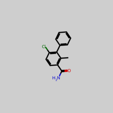 Cc1c(C(N)=O)ccc(Cl)c1-c1ccccc1